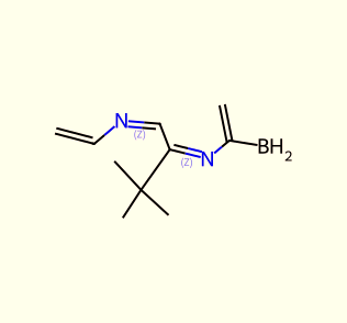 BC(=C)/N=C(\C=N/C=C)C(C)(C)C